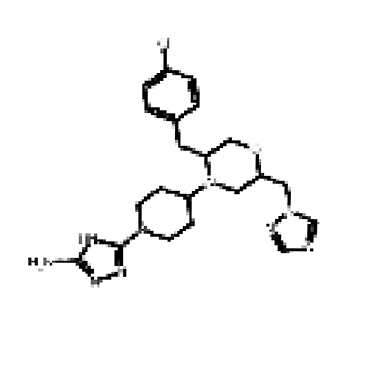 Nc1nnc(N2CCC(N3CC(Cn4cncn4)OCC3Cc3ccc(Cl)cc3)CC2)[nH]1